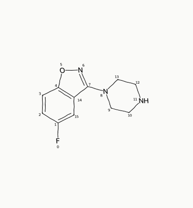 Fc1ccc2onc(N3CCNCC3)c2c1